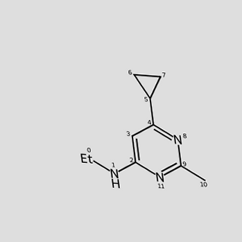 CCNc1cc(C2CC2)nc(C)n1